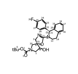 CC(C)(C)OC(=O)N1C[C@H](O)[C@]2(CN=C(N3CCc4ccccc4[C@@H]3c3ccc(F)cc3)O2)C1